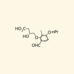 CCCOc1ccc(C=O)c(OC[C@H](O)CC(=O)O)c1C